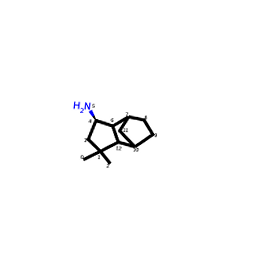 CC1(C)C[C@@H](N)C2C3CCC(C3)C21